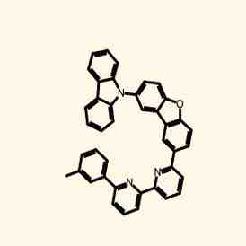 Cc1cccc(-c2cccc(-c3cccc(-c4ccc5oc6ccc(-n7c8ccccc8c8ccccc87)cc6c5c4)n3)n2)c1